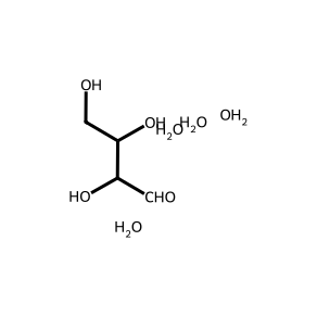 O.O.O.O.O=CC(O)C(O)CO